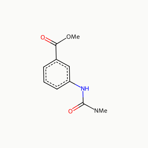 CNC(=O)Nc1cccc(C(=O)OC)c1